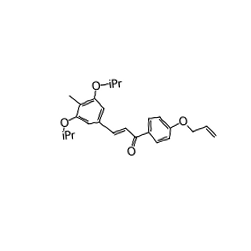 C=CCOc1ccc(C(=O)C=Cc2cc(OC(C)C)c(C)c(OC(C)C)c2)cc1